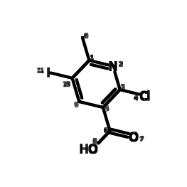 Cc1nc(Cl)c(C(=O)O)cc1I